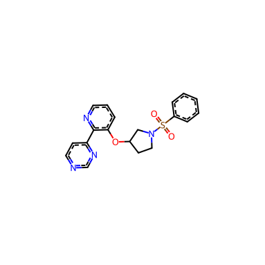 O=S(=O)(c1ccccc1)N1CCC(Oc2cccnc2-c2ccncn2)C1